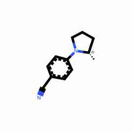 C[C@H]1CCCN1c1ccc(C#N)cc1